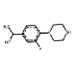 OC(c1ccc(N2CCNCC2)c(F)c1)C(F)(F)F